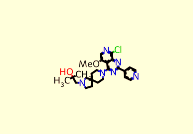 COc1cnc(Cl)c2nc(-c3ccncc3)nc(N3CCC4(CCN(CC(C)(C)O)C4)CC3)c12